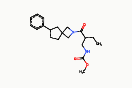 CCC(CNC(=O)OC)C(=O)N1CC2(CCC(c3ccccc3)C2)C1